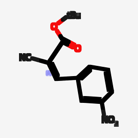 CC(C)(C)OC(=O)/C(C#N)=C\c1cccc([N+](=O)[O-])c1